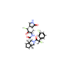 C[C@@](F)(C(=O)N1C[C@@H]2CCC[C@@H]2[C@@H]1C(=O)N[C@H](C[C@@H]1CCNC1=O)C(=O)CF)c1cccc(F)c1